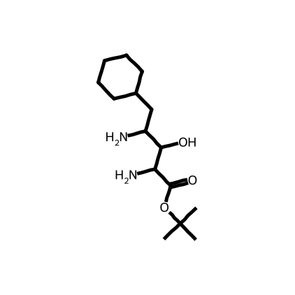 CC(C)(C)OC(=O)C(N)C(O)C(N)CC1CCCCC1